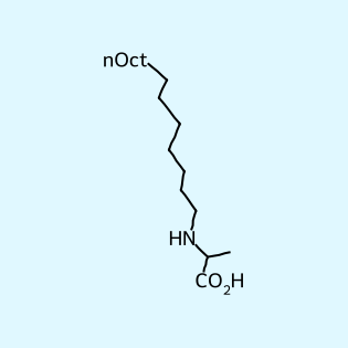 CCCCCCCCCCCCCCCNC(C)C(=O)O